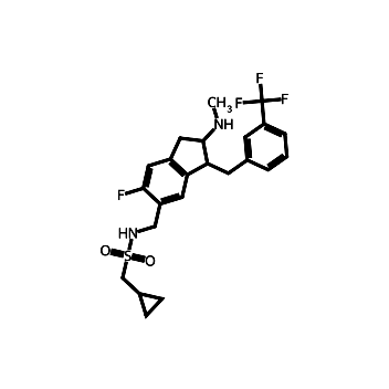 CNC1Cc2cc(F)c(CNS(=O)(=O)CC3CC3)cc2C1Cc1cccc(C(F)(F)F)c1